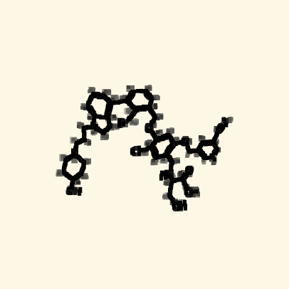 N#Cc1cncc(COc2cc(OCc3cccc(-c4cccc5c4CCN5CCCN4CCC(O)CC4)c3Br)c(Cl)cc2CNC(CO)C(=O)O)c1